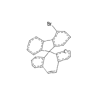 Brc1cccc2c1-c1ccccc1C21c2ccccc2C=Cc2ccccc21